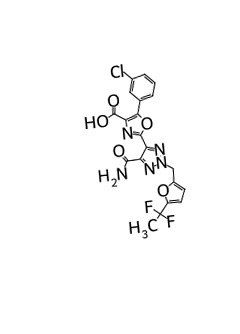 CC(F)(F)c1ccc(Cn2nc(C(N)=O)c(-c3nc(C(=O)O)c(-c4cccc(Cl)c4)o3)n2)o1